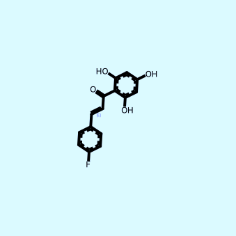 O=C(/C=C/c1ccc(F)cc1)c1c(O)cc(O)cc1O